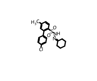 Cc1ccc(S(=O)(=O)NN=C2CCCCC2)c(-c2ccc(Cl)cc2)c1